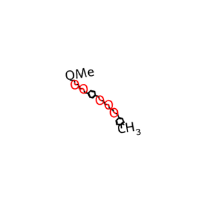 COCCOCCOCc1ccc(COCCOCCOCc2ccc(C)cc2)cc1